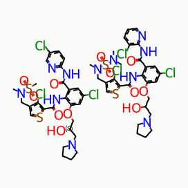 CN(C)S(=O)(=O)N(C)Cc1csc(C(=O)Nc2c(OCC(O)CN3CCCC3)cc(Cl)cc2C(=O)Nc2ncccc2Cl)c1Cl.CN(Cc1csc(C(=O)Nc2c(OC[C@@H](O)CN3CCCC3)cc(Cl)cc2C(=O)Nc2ccc(Cl)cn2)c1Cl)S(C)(=O)=O